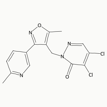 Cc1ccc(-c2noc(C)c2Cn2ncc(Cl)c(Cl)c2=O)cn1